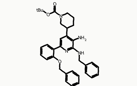 CC(C)(C)OC(=O)N1CCCC(c2cc(-c3ccccc3OCc3ccccc3)nc(NCc3ccccc3)c2N)C1